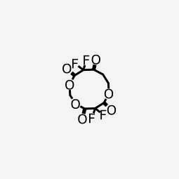 O=C1CCOC(=O)C(F)(F)C(=O)OCOC(=O)C1(F)F